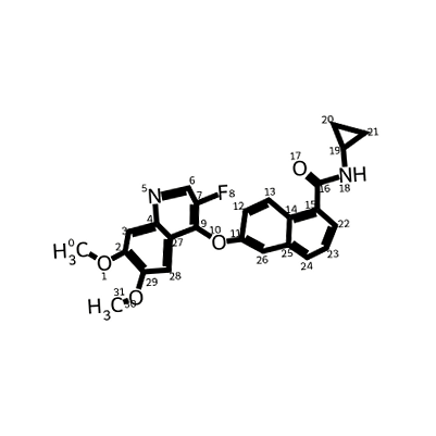 COc1cc2ncc(F)c(Oc3ccc4c(C(=O)NC5CC5)cccc4c3)c2cc1OC